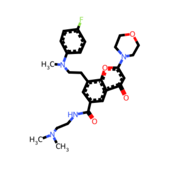 CN(C)CCNC(=O)c1cc(CCN(C)c2ccc(F)cc2)c2oc(N3CCOCC3)cc(=O)c2c1